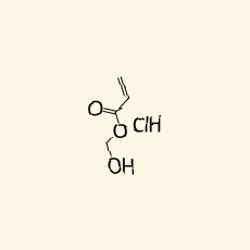 C=CC(=O)OCO.Cl